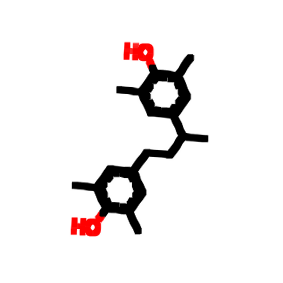 Cc1cc(CCC(C)c2cc(C)c(O)c(C)c2)cc(C)c1O